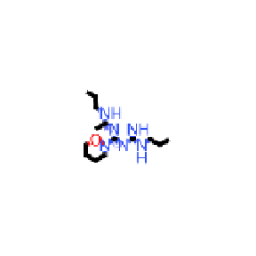 CCCNC(=N)/N=C(\N=C(/C)NCCC)N1CCCCO1